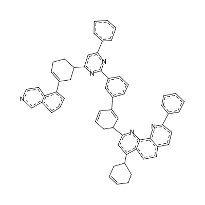 C1=CCC(c2cc(C3C=C(c4cccc(-c5nc(-c6ccccc6)cc(C6CCC=C(c7cccc8cnccc78)C6)n5)c4)C=CC3)nc3c2ccc2ccc(-c4ccccc4)nc23)CC1